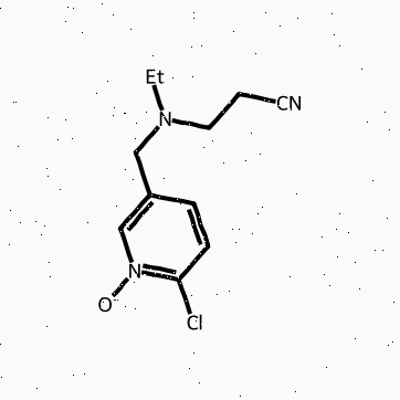 CCN(CCC#N)Cc1ccc(Cl)[n+]([O-])c1